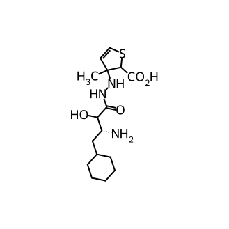 CC1(NNC(=O)C(O)[C@H](N)CC2CCCCC2)C=CSC1C(=O)O